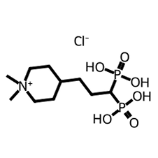 C[N+]1(C)CCC(CCC(P(=O)(O)O)P(=O)(O)O)CC1.[Cl-]